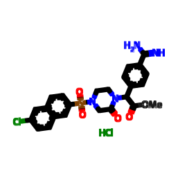 COC(=O)C(c1ccc(C(=N)N)cc1)N1CCN(S(=O)(=O)c2ccc3cc(Cl)ccc3c2)CC1=O.Cl